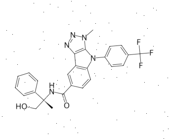 Cn1nnc2c3cc(C(=O)N[C@](C)(CO)c4ccccc4)ccc3n(-c3ccc(C(F)(F)F)cc3)c21